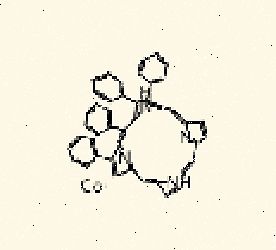 C1=Cc2cc3[nH]c(c(-c4ccccc4)c4nc(cc5ccc(cc1n2)[nH]5)C=C4c1ccccc1)c(-c1ccccc1)c3-c1ccccc1.[Co]